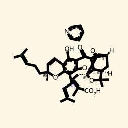 CC(C)=CCC[C@]1(C)C=Cc2c(O)c3c(c(CC=C(C)C)c2O1)O[C@]12C(=C[C@@H]4C[C@H]1C(C)(C)O[C@@]2(C/C=C(/C)C(=O)O)C4=O)C3=O.c1ccncc1